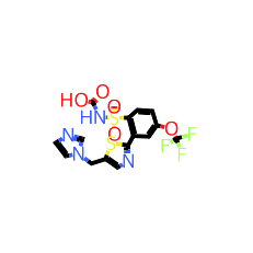 O=C(O)NS(=O)(=O)c1ccc(OC(F)(F)F)cc1-c1ncc(Cn2ccnc2)s1